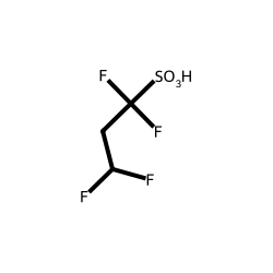 O=S(=O)(O)C(F)(F)CC(F)F